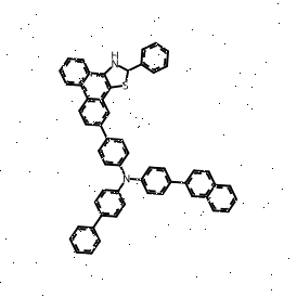 c1ccc(-c2ccc(N(c3ccc(-c4ccc5ccccc5c4)cc3)c3ccc(-c4ccc5c(c4)c4c(c6ccccc65)NC(c5ccccc5)S4)cc3)cc2)cc1